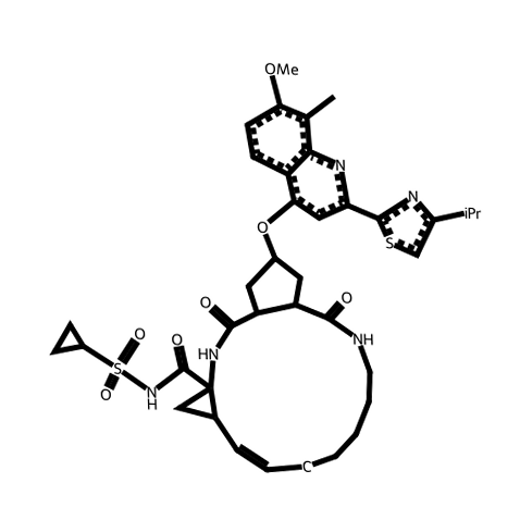 COc1ccc2c(OC3CC4C(=O)NCCCCCC=CC5CC5(C(=O)NS(=O)(=O)C5CC5)NC(=O)C4C3)cc(-c3nc(C(C)C)cs3)nc2c1C